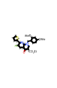 CCOC(=O)c1cn(Cc2ccc(OC)cc2OC)c2nc(-c3cccs3)c(F)cc2c1=O